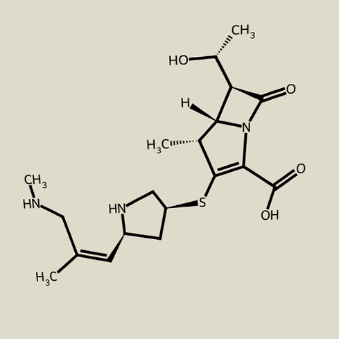 CNC/C(C)=C\[C@@H]1C[C@H](SC2=C(C(=O)O)N3C(=O)[C@H]([C@@H](C)O)[C@H]3[C@H]2C)CN1